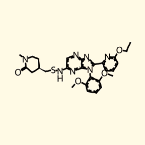 CCOc1cccc(-c2nc3ncc(NSC[C@@H]4CCN(C)C(=O)C4)nc3n2-c2c(OC)cccc2OC)n1